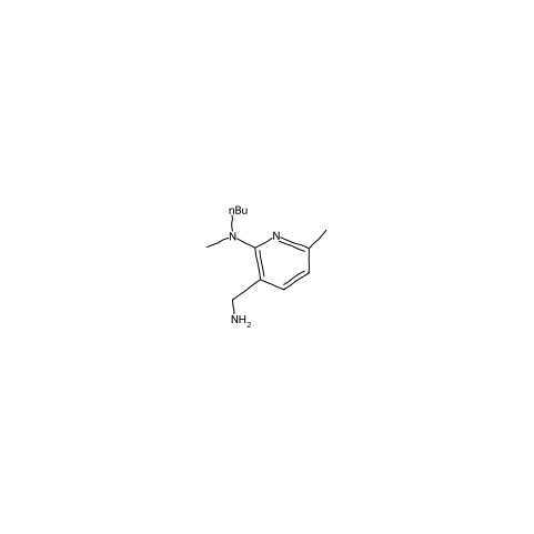 CCCCN(C)c1nc(C)ccc1CN